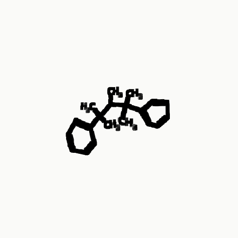 CC(C(C)(C)c1ccccc1)C(C)(C)c1ccccc1